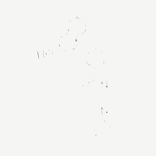 C=CC(=O)N1CC(N2CCc3ccc(-c4cc(O)cc5ccccc45)cc3C2=O)C1